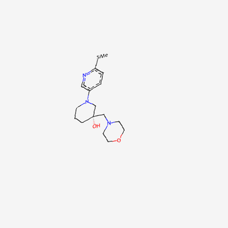 CSc1ccc(N2CCC[C@](O)(CN3CCOCC3)C2)cn1